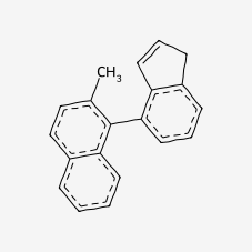 Cc1ccc2ccccc2c1-c1cccc2c1C=CC2